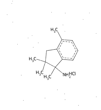 Cc1cccc2c1CC(C)(C)C2(C)N.Cl